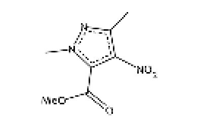 COC(=O)c1c([N+](=O)[O-])c(C)nn1C